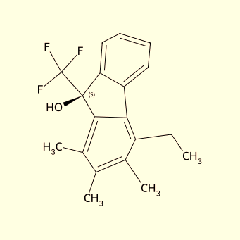 CCc1c(C)c(C)c(C)c2c1-c1ccccc1[C@@]2(O)C(F)(F)F